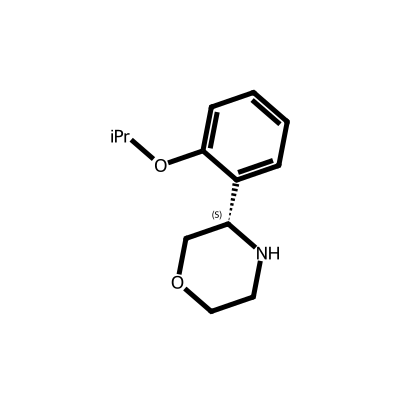 CC(C)Oc1ccccc1[C@H]1COCCN1